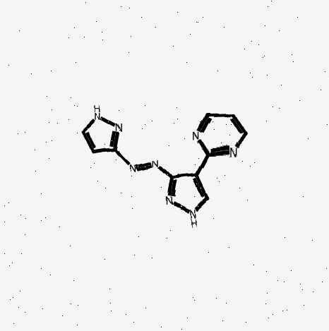 c1cnc(-c2c[nH]nc2N=Nc2cc[nH]n2)nc1